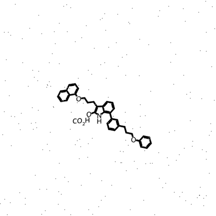 O=C(O)Oc1[nH]c2c(-c3cccc(CCCOc4ccccc4)c3)cccc2c1CCCOc1cccc2ccccc12